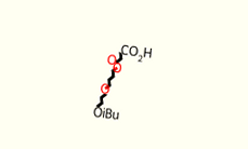 CC(C)COCCCCOCCCCOC(=O)CCC(=O)O